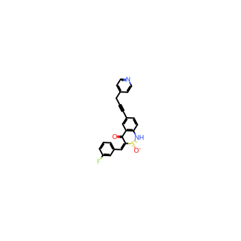 O=C1/C(=C\c2cccc(F)c2)[S+]([O-])Nc2ccc(C#CCc3ccncc3)cc21